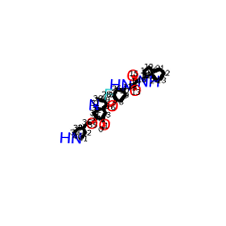 COc1cc2c(Oc3ccc(NC(=O)C(=O)NC4CCc5ccccc54)cc3F)ccnc2cc1OCC1CCNCC1